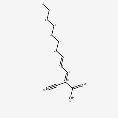 CCCCCCC/C=C/C=C(\C#N)C(=O)O